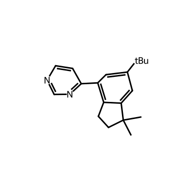 CC(C)(C)c1cc(-c2ccncn2)c2c(c1)C(C)(C)CC2